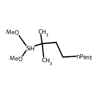 CCCCCCCC(C)(C)[SiH](OC)OC